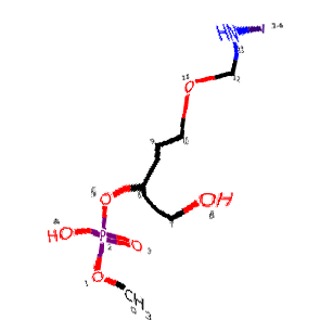 COP(=O)(O)OC(CO)CCOCNI